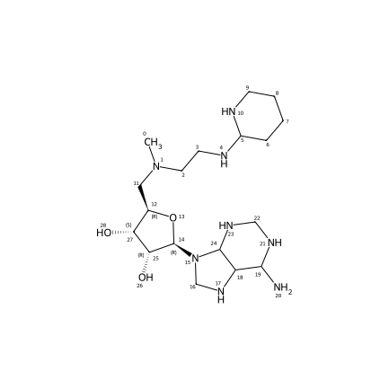 CN(CCNC1CCCCN1)C[C@H]1O[C@@H](N2CNC3C(N)NCNC32)[C@H](O)[C@@H]1O